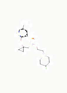 Cc1cnc2c(c1)S(=O)(=O)N(OCCN1CCC(F)CC1)CC1(CC1)O2